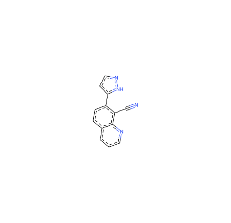 N#Cc1c(-c2ccn[nH]2)ccc2cccnc12